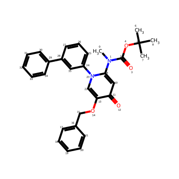 CN(C(=O)OC(C)(C)C)c1cc(=O)c(OCc2ccccc2)cn1-c1cccc(-c2ccccc2)c1